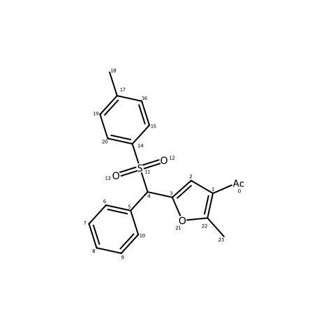 CC(=O)c1cc(C(c2ccccc2)S(=O)(=O)c2ccc(C)cc2)oc1C